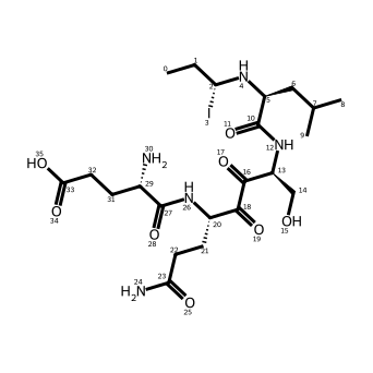 CC[C@@H](I)N[C@@H](CC(C)C)C(=O)N[C@@H](CO)C(=O)C(=O)[C@H](CCC(N)=O)NC(=O)[C@@H](N)CCC(=O)O